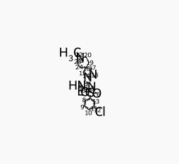 CCN/C(=N\S(=O)(=O)c1cccc(Cl)c1)N1CC2(C=N1)CCN(C)CC2